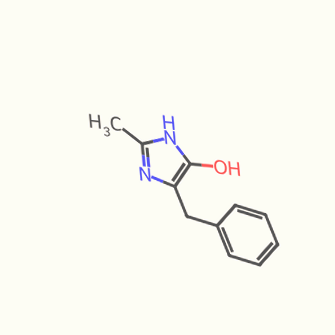 Cc1nc(Cc2ccccc2)c(O)[nH]1